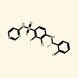 C[C@H](Nc1ccc(S(=O)(=O)Nc2ccncn2)c(F)c1Cl)c1ccccc1Cl